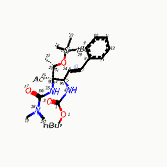 CCCCOC(=O)N[C@H](/C=C/c1ccccc1)[C@](NC(=O)N(C)C)(C(C)=O)[C@H](C)O[Si](C)(C)C(C)(C)C